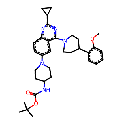 COc1ccccc1C1CCN(c2nc(C3CC3)nc3ccc(N4CCC(NC(=O)OC(C)(C)C)CC4)cc23)CC1